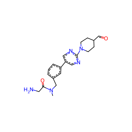 CN(Cc1cccc(-c2cnc(N3CCC(C=O)CC3)nc2)c1)C(=O)CN